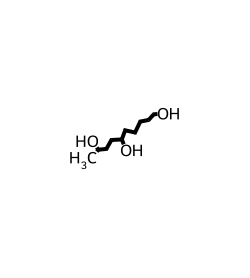 CC(O)CCC(O)CCCCCO